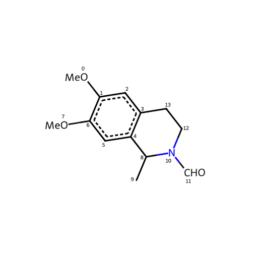 COc1cc2c(cc1OC)C(C)N(C=O)CC2